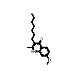 CCCCCCCc1c(C)[nH]c2cc(OC)ccc2c1=O